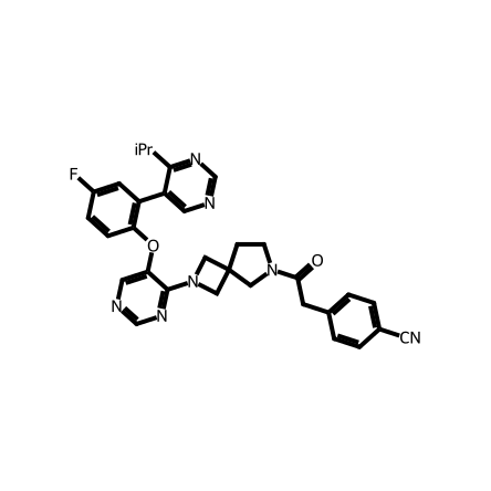 CC(C)c1ncncc1-c1cc(F)ccc1Oc1cncnc1N1CC2(CCN(C(=O)Cc3ccc(C#N)cc3)C2)C1